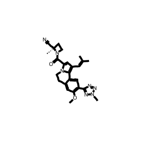 COc1cc2c(cc1-c1nnn(C)n1)-c1c(C=C(C)C)cc(C(=O)N3CC[C@]3(C)C#N)n1CC2